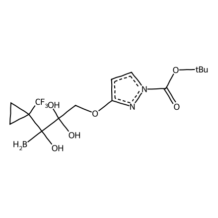 BC(O)(C(O)(O)COc1ccn(C(=O)OC(C)(C)C)n1)C1(C(F)(F)F)CC1